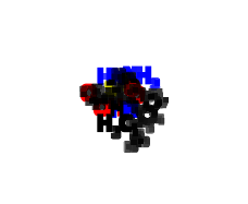 C[C@H](c1ccc2c(c1NC(=O)c1cc(C3(O)COC3)sc1S(=N)(N)=O)CCC2)C1CC1